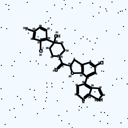 O=C([C@H]1Cc2cc(Cl)cc(-c3ccnc4[nH]ccc34)c2O1)N1CCC(O)(c2ccc(F)cc2Cl)CC1